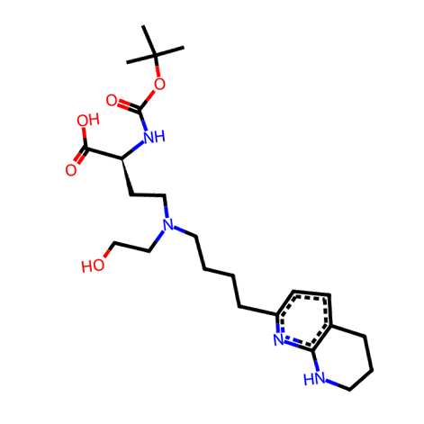 CC(C)(C)OC(=O)N[C@@H](CCN(CCO)CCCCc1ccc2c(n1)NCCC2)C(=O)O